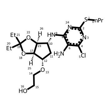 CCCSc1nc(Cl)c(N)c(N[C@@H]2C[C@H](OCCO)[C@H]3OC(CC)(CC)O[C@H]32)n1